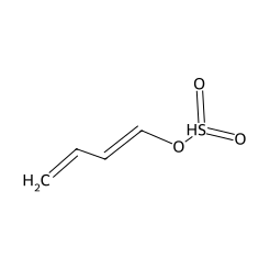 C=CC=CO[SH](=O)=O